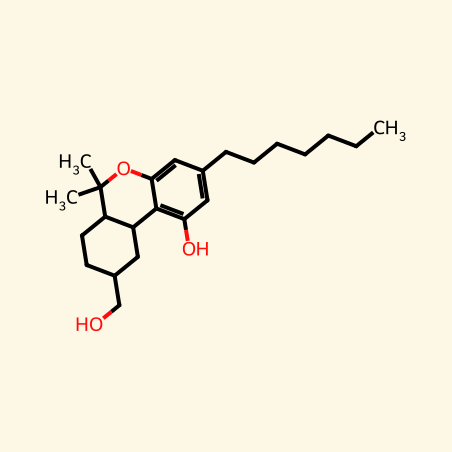 CCCCCCCc1cc(O)c2c(c1)OC(C)(C)C1CCC(CO)CC21